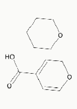 C1CCOCC1.O=C(O)C1=CCOC=C1